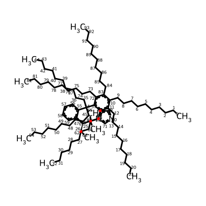 CCCCCCCCCCc1c(CCCCCCCCCC)c(CCCCCCCCCC)c(C(CCCCCCCCCC)(CCCCCCCCCC)c2ccccc2[C@H](CC)C(C)(C)n2ccnc2)c(CCCCCCCCCC)c1CCCCCCCCCC